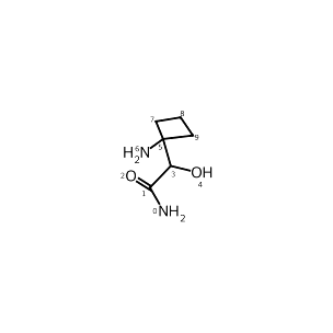 NC(=O)C(O)C1(N)CCC1